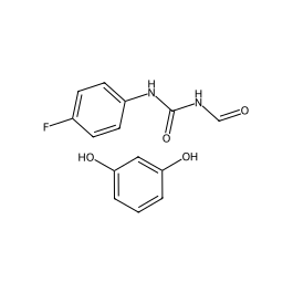 O=CNC(=O)Nc1ccc(F)cc1.Oc1cccc(O)c1